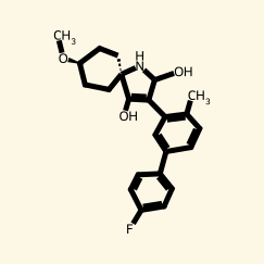 CO[C@H]1CC[C@]2(CC1)NC(O)C(c1cc(-c3ccc(F)cc3)ccc1C)=C2O